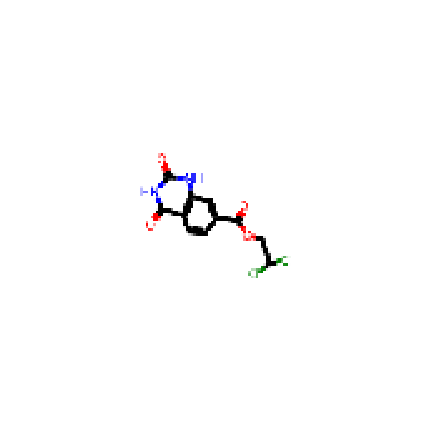 O=C(OCC(Cl)Cl)c1ccc2c(=O)[nH]c(=O)[nH]c2c1